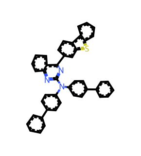 c1ccc(-c2ccc(N(c3ccc(-c4ccccc4)cc3)c3nc(-c4ccc5c(c4)sc4ccccc45)c4ccccc4n3)cc2)cc1